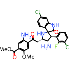 COC(=O)c1cc(N)c(C(=O)C[C@@H]2N[C@@]3(C(=O)Nc4cc(Cl)ccc43)[C@@H](c3cccc(Cl)c3F)[C@@H]2N)cc1OC